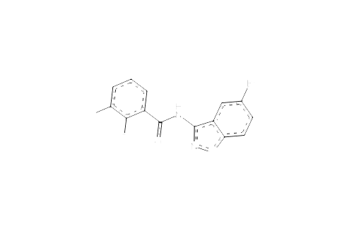 O=C(Nc1noc2ccc(Br)cc12)c1cccc(F)c1F